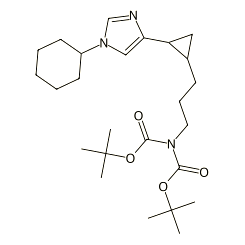 CC(C)(C)OC(=O)N(CCCC1CC1c1cn(C2CCCCC2)cn1)C(=O)OC(C)(C)C